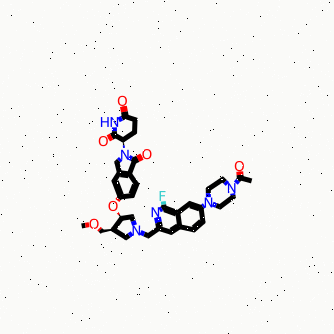 COC[C@@H]1CN(Cc2cc3ccc(N4CCN(C(C)=O)CC4)cc3c(F)n2)C[C@H]1Oc1ccc2c(c1)CN([C@H]1CCC(=O)NC1=O)C2=O